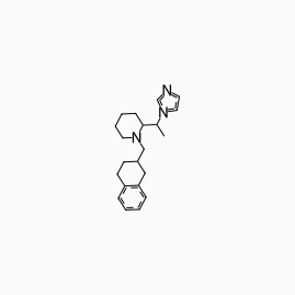 CC(C1CCCCN1CC1CCc2ccccc2C1)n1ccnc1